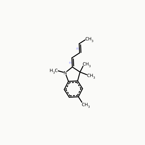 C/C=C/C=C1/N(C)c2ccc(C)cc2C1(C)C